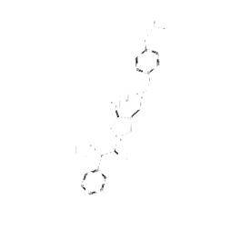 N=C1CN(C(=O)C(N)c2cccc(Cl)c2)C/C1=C/NSc1ccc(OC(F)F)cc1